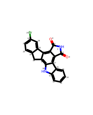 O=C1NC(=O)c2c1c1c(c3[nH]c4ccccc4c23)Cc2ccc(Br)cc2-1